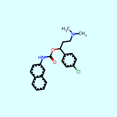 CN(C)CCC(OC(=O)Nc1ccc2ccccc2c1)c1ccc(Cl)cc1